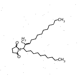 CCCCCCCCCC/C=C(\C)C(CCCCCCCCCC)N1C(=O)CCC1=O